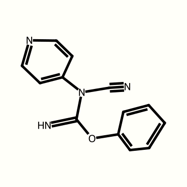 N#CN(C(=N)Oc1ccccc1)c1ccncc1